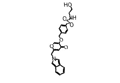 O=c1cc(Cn2cc3ccccc3c2)occ1OCc1ccc(S(=O)(=O)NCCO)cc1